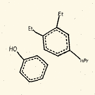 CCCc1ccc(CC)c(CC)c1.Oc1ccccc1